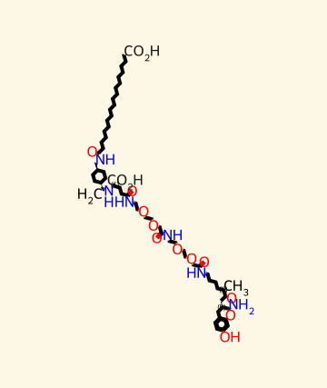 C=C(N[C@@H](CCC(=O)NCCOCCOCC(=O)NCCOCCOCC(=O)NCCCC[C@H](C)C(=O)C[C@@H](Cc1ccc(O)cc1)C(N)=O)C(=O)O)[C@H]1CC[C@H](CNC(=O)CCCCCCCCCCCCCCCCCCC(=O)O)CC1